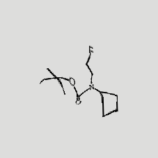 CC(C)(C)OC(=O)N(CCF)C1CCC1